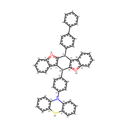 c1ccc(-c2ccc(B3c4oc5ccccc5c4B(c4ccc(N5c6ccccc6Sc6ccccc65)cc4)c4oc5ccccc5c43)cc2)cc1